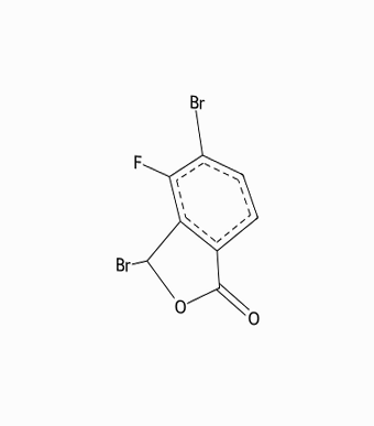 O=C1OC(Br)c2c1ccc(Br)c2F